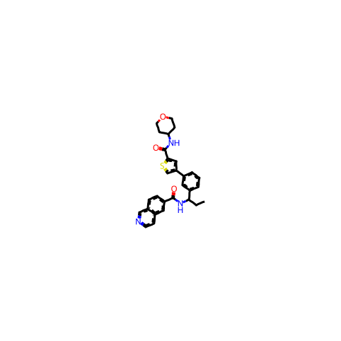 CCC(NC(=O)c1ccc2cnccc2c1)c1cccc(-c2csc(C(=O)NC3CCOCC3)c2)c1